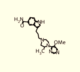 COc1cncnc1N1CCN(CCCc2c[nH]c3ccc(C(N)=O)cc23)CC1C